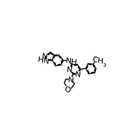 Cc1cccc(-c2cc(Nc3ccc4[nH]ncc4c3)nc(N3CCOCC3)n2)c1